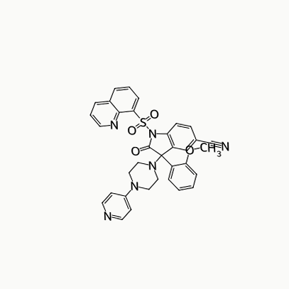 COc1ccccc1C1(N2CCN(c3ccncc3)CC2)C(=O)N(S(=O)(=O)c2cccc3cccnc23)c2ccc(C#N)cc21